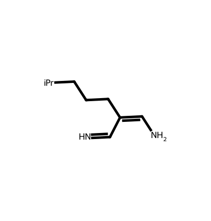 CC(C)CCC/C(C=N)=C/N